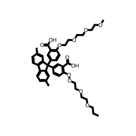 CCCOCCOCCOOc1ccc(C2(c3ccc(OCCOCCOCCOC)c(C(=O)O)c3)c3cc(C)ccc3-c3ccc(C)cc32)cc1C(=O)O